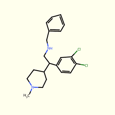 CN1CCC(C(CNCc2ccccc2)c2ccc(Cl)c(Cl)c2)CC1